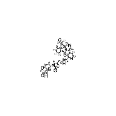 O=C1COc2ccc(N3CC(CCNCc4nccc(-c5cncc(OC6COC6)n5)c4OCc4ccccc4)OC3=O)nc2N1